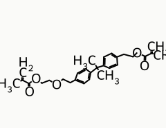 C=C(C)C(=O)OCCOCCc1ccc(C(C)(C)c2ccc(CCOC(=O)C(=C)C)cc2)cc1